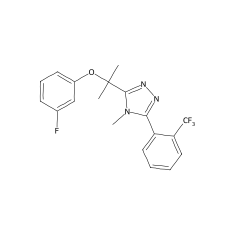 Cn1c(-c2ccccc2C(F)(F)F)nnc1C(C)(C)Oc1cccc(F)c1